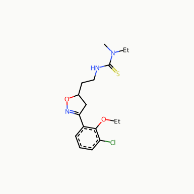 CCOc1c(Cl)cccc1C1=NOC(CCNC(=S)N(C)CC)C1